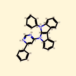 c1ccc(-c2cc(-n3c4ccccc4c4c5ccccc5n(-c5ccccc5)c43)ncn2)cc1